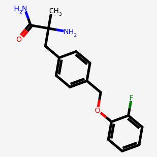 CC(N)(Cc1ccc(COc2ccccc2F)cc1)C(N)=O